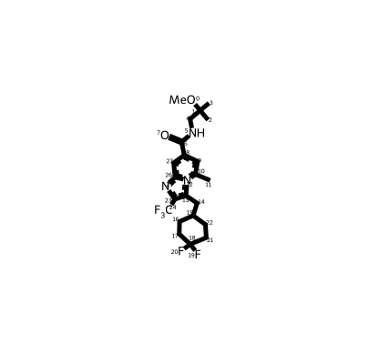 COC(C)(C)CNC(=O)c1cc(C)n2c(CC3CCC(F)(F)CC3)c(C(F)(F)F)nc2c1